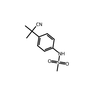 CC(C)(C#N)c1ccc(NS(C)(=O)=O)cc1